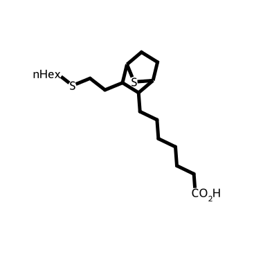 CCCCCCSCCC1C2CCC(S2)C1CCCCCCC(=O)O